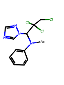 CC(=O)N(c1ccccc1)C(n1cncn1)C(Cl)(Cl)CCl